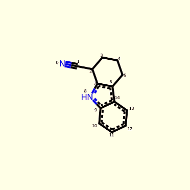 N#CC1CCCc2c1[nH]c1ccccc21